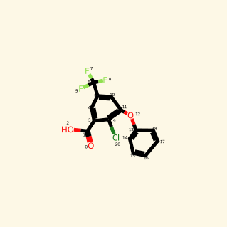 O=C(O)c1cc(C(F)(F)F)cc(Oc2ccccc2)c1Cl